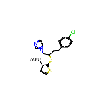 COc1ccsc1SC(CCc1ccc(Cl)cc1)Cn1ccnc1